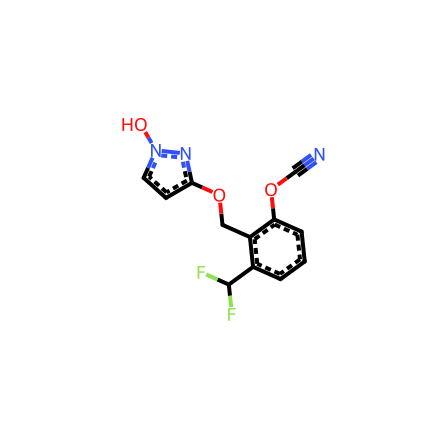 N#COc1cccc(C(F)F)c1COc1ccn(O)n1